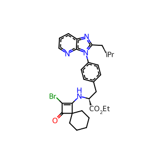 CCOC(=O)[C@H](Cc1ccc(-n2c(CC(C)C)nc3cccnc32)cc1)NC1=C(Br)C(=O)C12CCCCC2